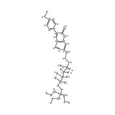 CCO[Si](CCC(F)(F)C(F)(F)C(F)(F)C(F)(F)CCOc1ccc2cc(-c3ccc(CC)cc3)c(=O)oc2c1)(OCC)OCC